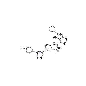 C[C@@H](NC(=O)c1ncnc2nc(C3CCCC3)[nH]c12)c1cccc(/C(C=N)=C/Nc2ccc(F)cc2)c1